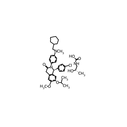 COc1cc2c(cc1OC(C)C)[C@H](c1ccc(Cl)cc1)N(c1ccc(N(C)CC3CCCCC3)cc1)C(=O)C2.C[C@H](O)CNC(=O)O